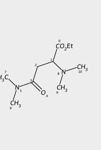 CCOC(=O)C(CC(=O)N(C)C)N(C)C